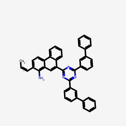 C/C=C\c1ccc2c(cc(-c3nc(-c4cccc(-c5ccccc5)c4)nc(-c4cccc(-c5ccccc5)c4)n3)c3ccccc32)c1N